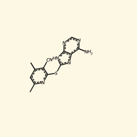 Cc1cc(C)c(C#N)c(Sc2nc3c(N)ncnc3[nH]2)n1